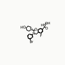 O=C(NO)c1ccc(CN(C(=O)N2CCC(O)CC2)c2cccc(Br)c2)c(F)c1